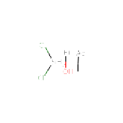 CC(C)=O.CCO.Cl[SiH2]Cl